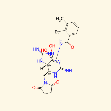 CCc1c(C)cccc1C(=O)NC1CN2C(=N)N[C@@H](CN3C(=O)CCC3=O)[C@@H]3NC(=N)NC32C1(O)O